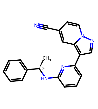 C[C@H](Nc1cccc(-c2cnn3ccc(C#N)cc23)n1)c1ccccc1